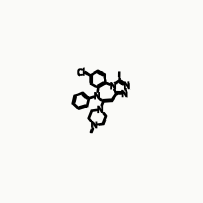 Cc1nnc2n1-c1ccc(Cl)cc1N(c1ccccc1)C(N1CCN(C)CC1)=C2